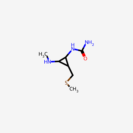 CNC1C(CSC)C1NC(N)=O